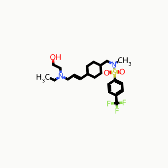 CCN(C/C=C/C1CCC(CN(C)S(=O)(=O)c2ccc(C(F)(F)F)cc2)CC1)CCO